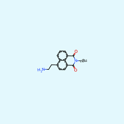 CCCCN1C(=O)c2cccc3c(CCN)ccc(c23)C1=O